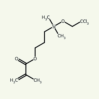 C=C(C)C(=O)OCCC[Si](C)(C)OCC(Cl)(Cl)Cl